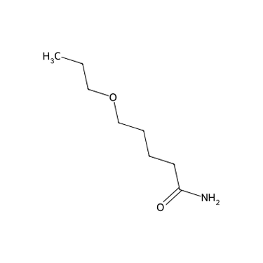 CCCOCCCCC(N)=O